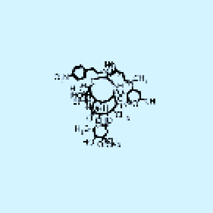 C=C1CO[C@@H]2[C@@H](C)/C(=N/O)[C@H](C)C[C@@](C)(OC1)[C@H](O[C@@H]1O[C@H](C)C[C@H](N(C)CCc3cn(CCc4ccc([N+](=O)[O-])cc4)nn3)[C@H]1O)[C@@H](C)[C@H](OC1C[C@@](C)(OC)[C@@H](O)[C@H](C)O1)[C@@H](C)C(=O)O[C@H](CC)[C@@]2(C)O